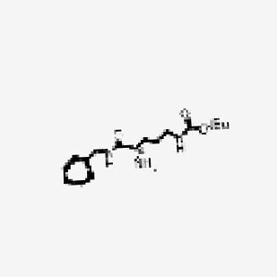 CC(C)(C)OC(=O)NCCC[C@H](N)C(=O)NCc1ccccc1